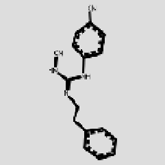 N#CNC(=NCCc1ccccc1)Nc1ccc(C#N)cc1